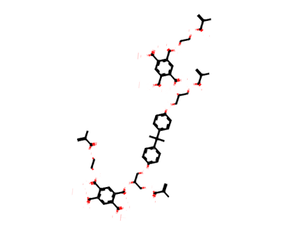 C=C(C)C(=O)OCCOC(=O)c1cc(C(=O)OC(COC(=O)C(=C)C)COc2ccc(C(C)(C)c3ccc(OCC(COC(=O)C(=C)C)OC(=O)c4cc(C(=O)OCCOC(=O)C(=C)C)c(C(=O)O)cc4C(=O)O)cc3)cc2)c(C(=O)O)cc1C(=O)O